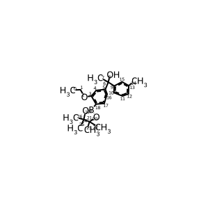 CCOc1cc(C(C)(O)c2cccc(C)c2)ccc1B1OC(C)(C)C(C)(C)O1